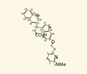 CNc1cccc(CCOc2ccc3c(C(CC(=O)O)c4cnc5ccccc5c4)csc3c2)n1